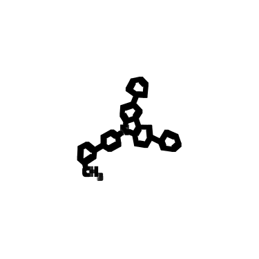 Cc1cccc(-c2ccc(-n3c4ccc(-c5ccccc5)cc4c4cc(-c5ccccc5)ccc43)cc2)c1